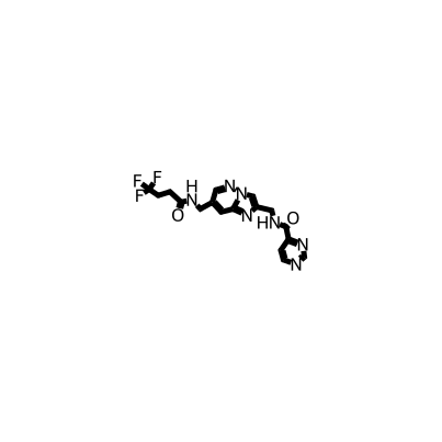 O=C(CCC(F)(F)F)NCc1cnn2cc(CNC(=O)c3ccncn3)nc2c1